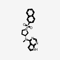 CN(c1ncnc2[nH]ccc12)[C@@H]1CCN(S(=O)(=O)c2ccc3ccccc3c2)C1